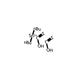 CCC[CH2][Sn+2][CH2]CCC.O[C-]=S.O[C-]=S